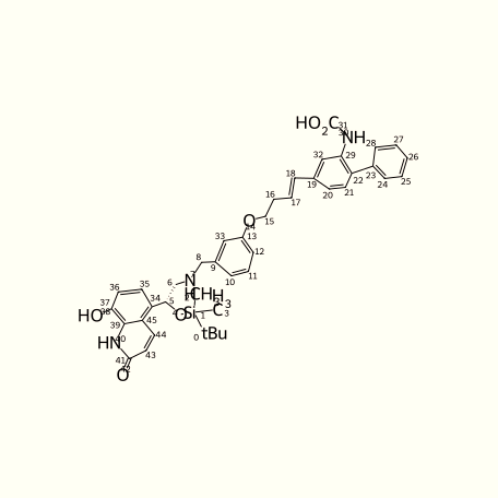 CC(C)(C)[Si](C)(C)O[C@@H](CNCc1cccc(OCC/C=C/c2ccc(-c3ccccc3)c(NC(=O)O)c2)c1)c1ccc(O)c2[nH]c(=O)ccc12